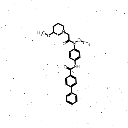 COC1CCCN(CC(=O)N(OC)c2ccc(NC(=O)c3ccc(-c4ccccc4)cc3)cc2)C1